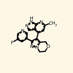 Cc1cc(-c2c(-c3cncc(F)c3)nn3c2COCC3)c2cn[nH]c2n1